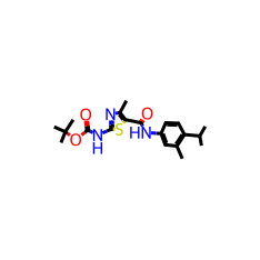 Cc1cc(NC(=O)c2sc(NC(=O)OC(C)(C)C)nc2C)ccc1C(C)C